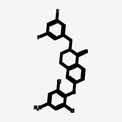 Nc1cc(Cl)c(Oc2ccc3c(c2)CCN(Cc2cc(F)cc(F)c2)C3=O)c(Cl)c1